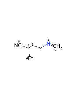 C=NCCC(C#N)CC